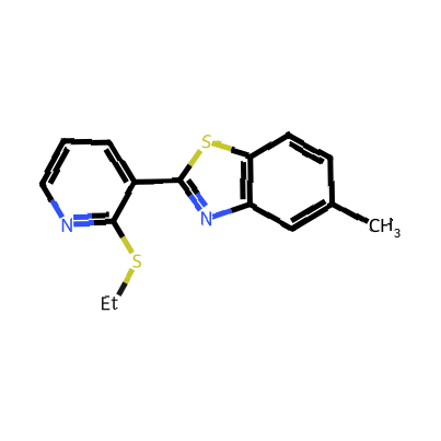 CCSc1ncccc1-c1nc2cc(C)ccc2s1